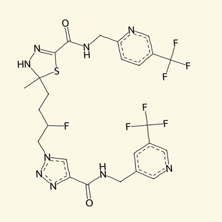 CC1(CCC(F)Cn2cc(C(=O)NCc3cncc(C(F)(F)F)c3)nn2)NN=C(C(=O)NCc2ccc(C(F)(F)F)cn2)S1